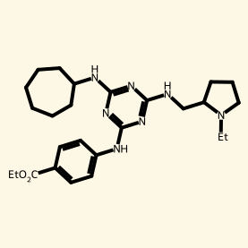 CCOC(=O)c1ccc(Nc2nc(NCC3CCCN3CC)nc(NC3CCCCCC3)n2)cc1